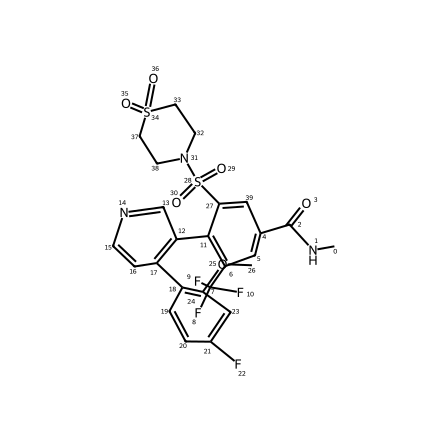 CNC(=O)c1cc(C(F)(F)F)c(-c2cnccc2-c2ccc(F)cc2OC)c(S(=O)(=O)N2CCS(=O)(=O)CC2)c1